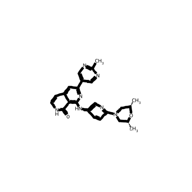 Cc1ncc(-c2cc3cc[nH]c(=O)c3c(Nc3ccc(N4C[C@@H](C)O[C@@H](C)C4)nc3)n2)cn1